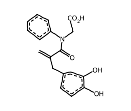 C=C(Cc1ccc(O)c(O)c1)C(=O)N(CC(=O)O)c1ccccc1